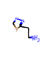 NCCc1nn[c]s1